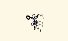 CCOC(=O)/C(=C/C=C(/C(=O)OCC)N(C)C)SCc1ccccc1